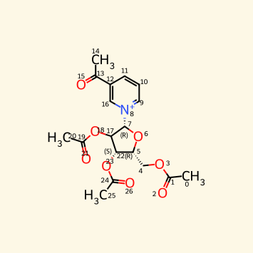 CC(=O)OC[C@H]1O[C@@H]([n+]2cccc(C(C)=O)c2)C(OC(C)=O)[C@H]1OC(C)=O